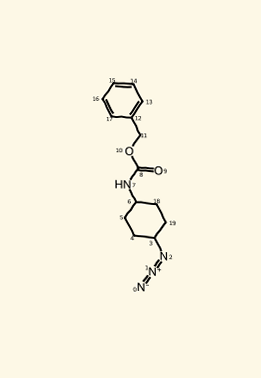 [N-]=[N+]=NC1CCC(NC(=O)OCc2ccccc2)CC1